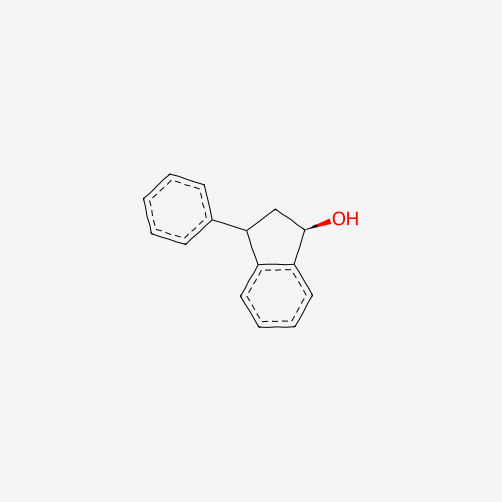 O[C@@H]1CC(c2ccccc2)c2ccccc21